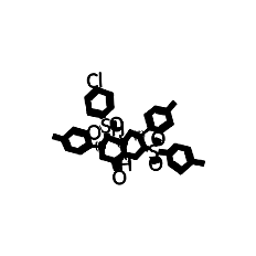 Cc1ccc([C@@H]2C[C@@H]3C(S(=O)(=O)c4ccc(Cl)cc4)[C@H](c4ccc(C)cc4)CC(=O)[C@@H]3CC2S(=O)(=O)c2ccc(C)cc2)cc1